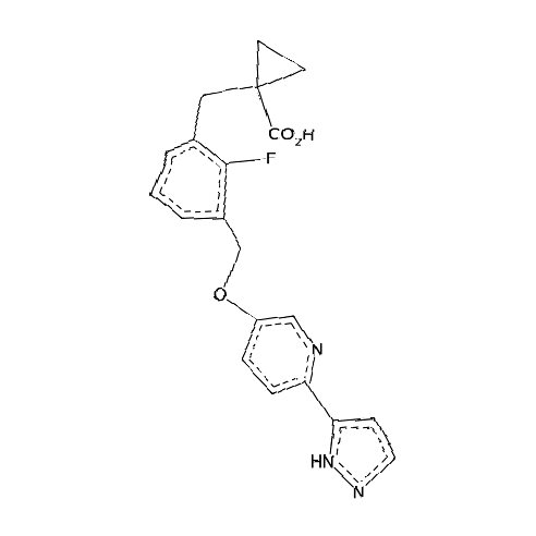 O=C(O)C1(Cc2cccc(COc3ccc(-c4ccn[nH]4)nc3)c2F)CC1